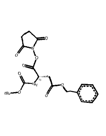 CC(C)(C)OC(=O)N[C@@H](CC(=O)OCc1ccccc1)C(=O)ON1C(=O)CCC1=O